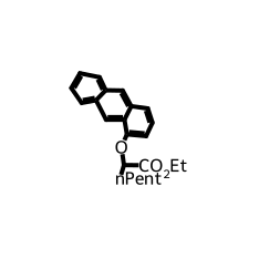 CCCCCC(Oc1cccc2cc3ccccc3cc12)C(=O)OCC